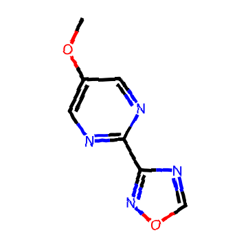 COc1cnc(-c2ncon2)nc1